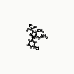 Cc1c(C(F)(F)F)nn(-c2cccc(Cl)c2)c1CN